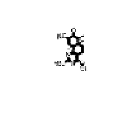 CCOc1nc(C(C)(C)C)nc2c1CC[C@@]1(C)[C@H](C)C(=O)C(C#N)=C[C@]21C